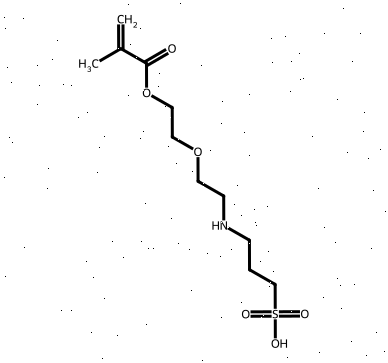 C=C(C)C(=O)OCCOCCNCCCS(=O)(=O)O